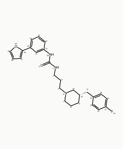 O=C(NCCCN1CCC[C@@H](Cc2ccc(F)cc2)C1)Nc1cccc(-c2ccco2)c1